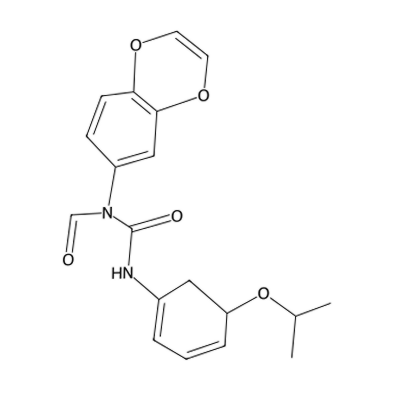 CC(C)OC1C=CC=C(NC(=O)N(C=O)c2ccc3c(c2)OC=CO3)C1